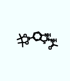 CC(=O)NN1Nc2ccc(B3OC(C)(C)C(C)(C)O3)cc2S1